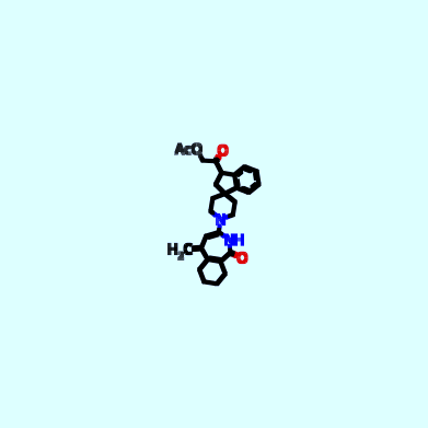 C=C1C=C(N2CCC3(CC2)CC(C(=O)COC(C)=O)c2ccccc23)NC(=O)C2=C1CCCC2